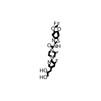 C[C@H]1CN(c2ncc(C[C@H](O)CO)cc2F)CCN1C(=O)Nc1nc2cc3c(cc2s1)OC(F)(F)O3